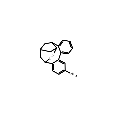 Nc1ccc2c(c1)-c1ccccc1C1CC3CC2CCC1C3